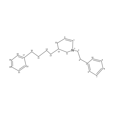 C1=CN(CCc2ccccc2)CC(CCCCc2ccccc2)C1